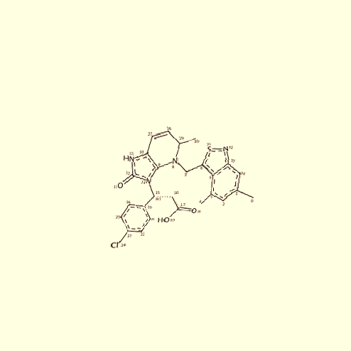 Cc1cc(C)c2c(CN3c4c([nH]c(=O)n4[C@H](CC(=O)O)c4ccc(Cl)cc4)C=CC3C)snc2c1